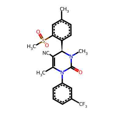 CC1=C(C#N)[C@@H](c2ccc(C)cc2S(C)(=O)=O)N(C)C(=O)N1c1cccc(C(F)(F)F)c1